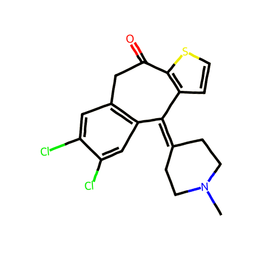 CN1CCC(=C2c3cc(Cl)c(Cl)cc3CC(=O)c3sccc32)CC1